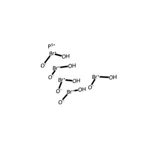 [O-][Br+]O.[O-][Br+]O.[O-][Br+]O.[O-][Br+]O.[O-][Br+]O.[P+5]